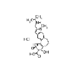 CC(C)NCc1cc2cc3c(cc2n1C)CCCc1c-3[nH]c(=O)c(C(=O)O)c1O.Cl